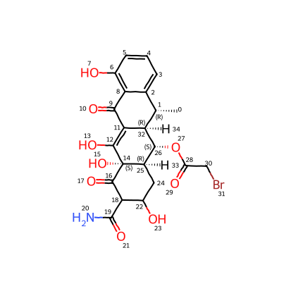 C[C@H]1c2cccc(O)c2C(=O)C2=C(O)[C@]3(O)C(=O)C(C(N)=O)C(O)C[C@@H]3[C@@H](OC(=O)CBr)[C@@H]21